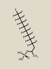 CC(CC(F)(F)C(F)(F)C(F)(F)C(F)(F)C(F)(F)C(F)(F)C(F)(F)C(F)(F)F)OP(=O)(O)O